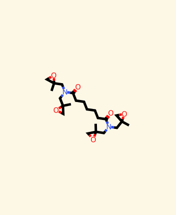 CC1(CN(CC2(C)CO2)C(=O)CCCCCC(=O)N(CC2(C)CO2)CC2(C)CO2)CO1